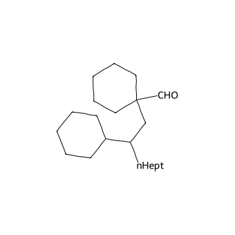 CCCCCCCC(CC1(C=O)CCCCC1)C1CCCCC1